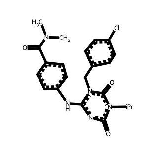 CC(C)n1c(=O)nc(Nc2ccc(C(=O)N(C)C)cc2)n(Cc2ccc(Cl)cc2)c1=O